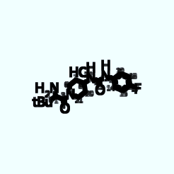 CC(C)(C)C(N)C(=O)N1CCC(NC(=O)Nc2ccc(F)cc2)CC1.Cl